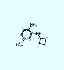 Cc1ccc(N)c(NC2CCC2)c1